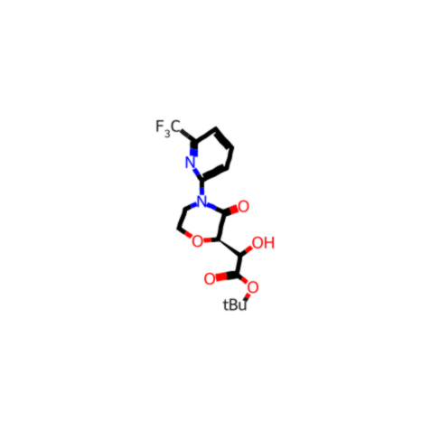 CC(C)(C)OC(=O)C(O)[C@H]1OCCN(c2cccc(C(F)(F)F)n2)C1=O